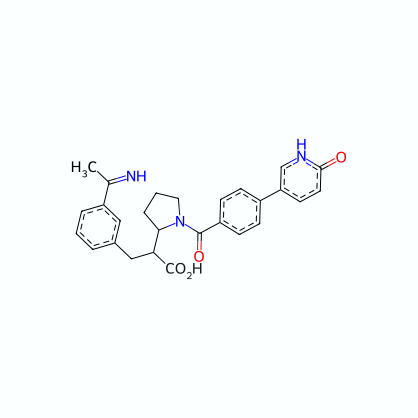 CC(=N)c1cccc(CC(C(=O)O)C2CCCN2C(=O)c2ccc(-c3ccc(=O)[nH]c3)cc2)c1